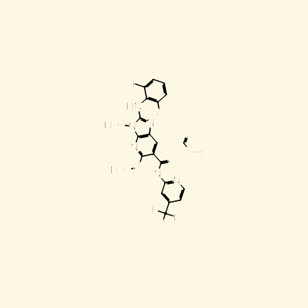 COc1nc2c(cc1C(=O)Nc1cc(C(F)(F)F)ccn1)nc(Nc1c(Cl)cccc1Cl)n2C.O=CO